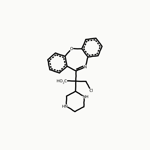 O=C(O)C(CCl)(C1=Nc2ccccc2Oc2ccccc21)C1CNCCN1